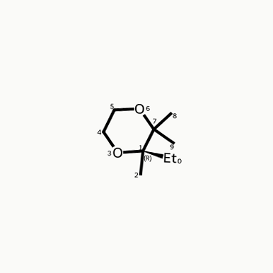 CC[C@@]1(C)OCCOC1(C)C